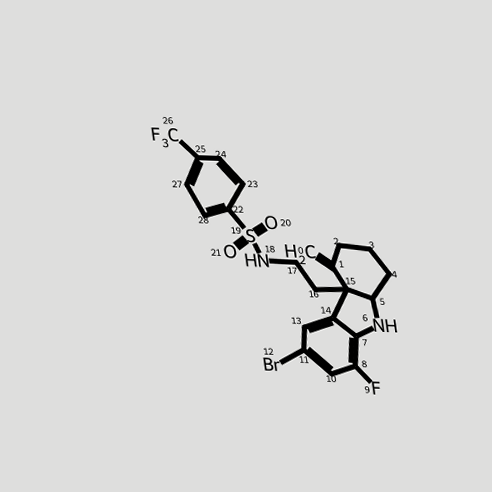 C=C1CCCC2Nc3c(F)cc(Br)cc3C12CCNS(=O)(=O)c1ccc(C(F)(F)F)cc1